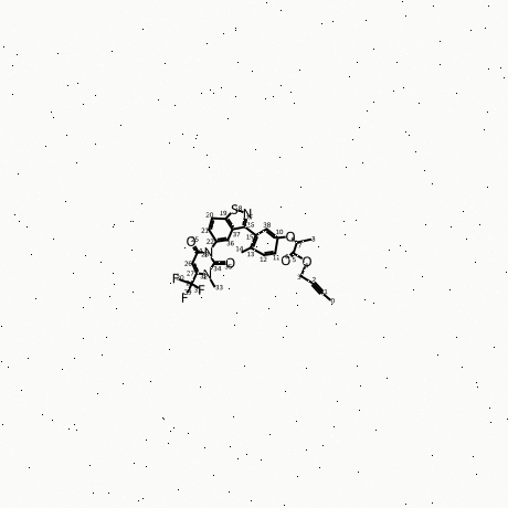 CC#CCOC(=O)C(C)Oc1ccc(C)c(-c2nsc3ccc(-n4c(=O)cc(C(F)(F)F)n(C)c4=O)cc23)c1